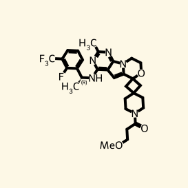 COCCC(=O)N1CCC2(CC1)CC1(C2)OCCn2c1cc1c(N[C@H](C)c3cccc(C(F)(F)F)c3F)nc(C)nc12